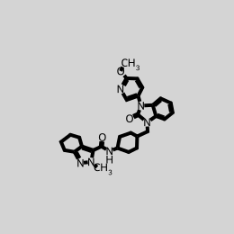 COc1ccc(-n2c(=O)n(CC3CCC(NC(=O)c4c5c(nn4C)CCCC5)CC3)c3ccccc32)cn1